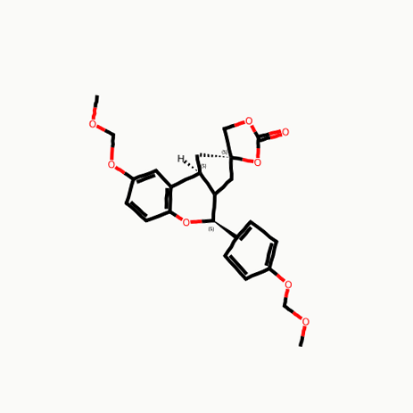 COCOc1ccc([C@H]2Oc3ccc(OCOC)cc3[C@H]3C[C@@]4(COC(=O)O4)CC32)cc1